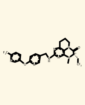 CN1c2nc(NCc3ccc(Oc4ccc(C(F)(F)F)nc4)nc3)nc3c2N(CCC3)C(=O)[C@@H]1CC(F)(F)F